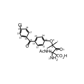 CC(=O)NC(N)(C(=O)O)C(=O)C(C)(C)Oc1ccc(C(=O)c2ccc(Cl)cc2)cc1